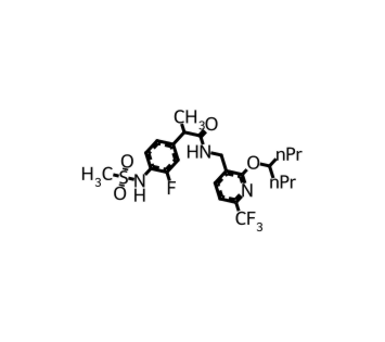 CCCC(CCC)Oc1nc(C(F)(F)F)ccc1CNC(=O)C(C)c1ccc(NS(C)(=O)=O)c(F)c1